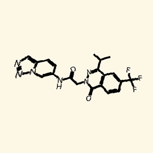 CC(C)c1nn(CC(=O)Nc2ccc3cnnn3c2)c(=O)c2ccc(C(F)(F)F)cc12